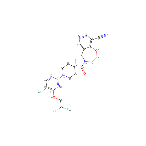 N#Cc1cncc2c1OCCN(C(=O)C1(F)CCN(c3ncc(F)c(OCC(F)F)n3)CC1)C2